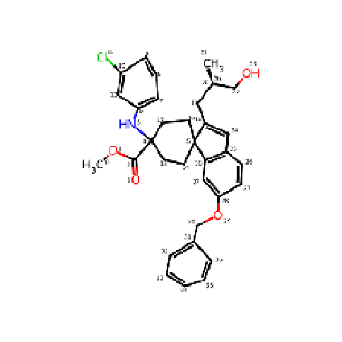 COC(=O)C1(Nc2cccc(Cl)c2)CCC2(CC1)C(C[C@@H](C)CO)=Cc1ccc(OCc3ccccc3)cc12